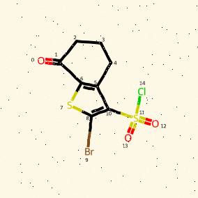 O=C1CCCc2c1sc(Br)c2S(=O)(=O)Cl